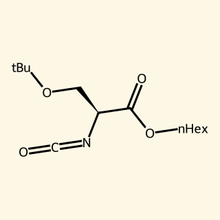 CCCCCCOC(=O)[C@H](COC(C)(C)C)N=C=O